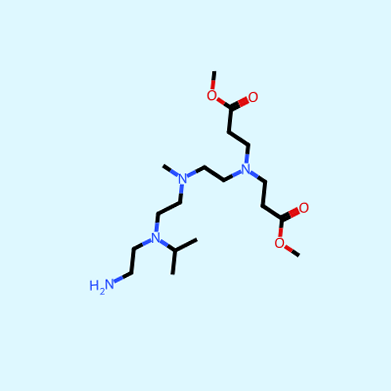 COC(=O)CCN(CCC(=O)OC)CCN(C)CCN(CCN)C(C)C